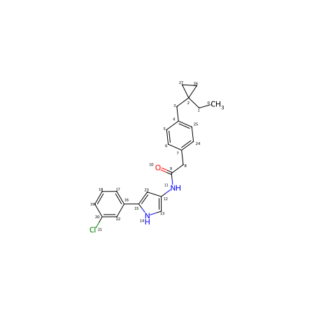 CCC1(Cc2ccc(CC(=O)Nc3c[nH]c(-c4cccc(Cl)c4)c3)cc2)CC1